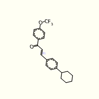 O=C(/C=C/c1ccc(C2CCCCC2)cc1)c1ccc(OC(F)(F)F)cc1